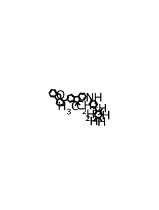 [2H]c1c([2H])c([2H])c(-c2ccc(Nc3ccc4c(c3)C(C)(C)c3cc(-c5cccc6c5oc5ccccc56)ccc3-4)cc2)c([2H])c1[2H]